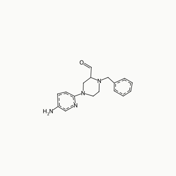 Nc1ccc(N2CCN(Cc3ccccc3)C(C=O)C2)nc1